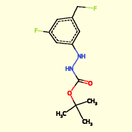 CC(C)(C)OC(=O)NNc1cc(F)cc(CF)c1